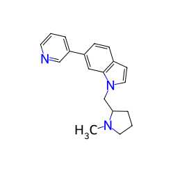 CN1CCCC1Cn1ccc2ccc(-c3cccnc3)cc21